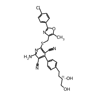 Cc1oc(-c2ccc(Cl)cc2)nc1CSc1nc(N)c(C#N)c(-c2ccc(CC[C@H](O)CO)cc2)c1C#N